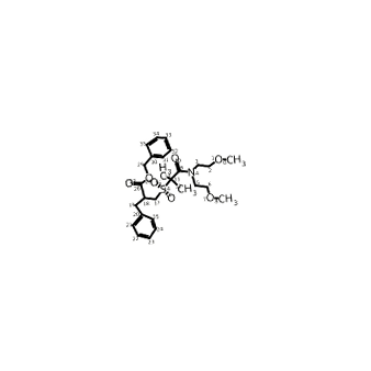 COCCN(CCOC)C(=O)C(C)(C)S(=O)(=O)CC(Cc1ccccc1)C(=O)OCc1ccccc1